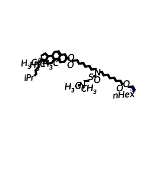 CCCCCC/C=C\COC(=O)CCCCCCCN(CCCCCCCC(=O)O[C@H]1CC[C@@]2(C)C(=CCC3C2CC[C@@]2(C)C3CC[C@@H]2[C@H](C)CCCC(C)C)C1)C(=O)SCCN(C)C